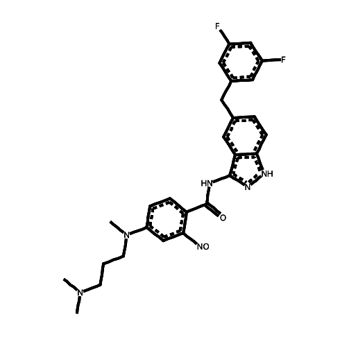 CN(C)CCCN(C)c1ccc(C(=O)Nc2n[nH]c3ccc(Cc4cc(F)cc(F)c4)cc23)c(N=O)c1